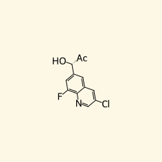 CC(=O)[C@@H](O)c1cc(F)c2ncc(Cl)cc2c1